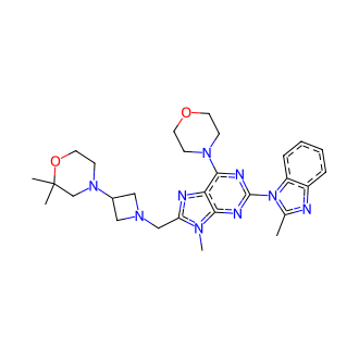 Cc1nc2ccccc2n1-c1nc(N2CCOCC2)c2nc(CN3CC(N4CCOC(C)(C)C4)C3)n(C)c2n1